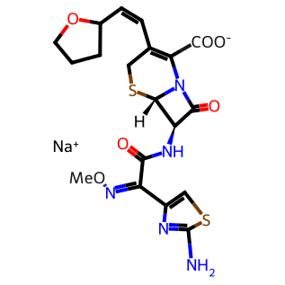 CO/N=C(\C(=O)N[C@@H]1C(=O)N2C(C(=O)[O-])=C(/C=C\C3CCCO3)CS[C@@H]12)c1csc(N)n1.[Na+]